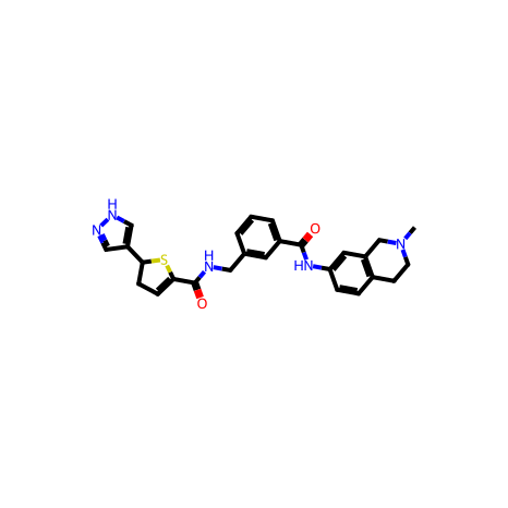 CN1CCc2ccc(NC(=O)c3cccc(CNC(=O)C4=CCC(c5cn[nH]c5)S4)c3)cc2C1